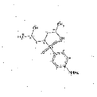 CC(=O)Nc1ccc(S(=O)(=O)N(CC(C)O)CC(C)O)cc1